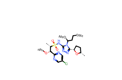 CCCO[C@@H](c1ncc(Cl)cn1)[C@H](C)S(=O)(=O)Nc1nnc([C@@H]2CC[C@H](C)O2)n1C(CCOC)OC